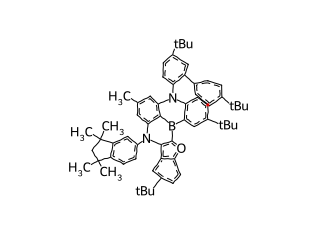 Cc1cc2c3c(c1)N(c1ccc4c(c1)C(C)(C)CC4(C)C)c1c(oc4ccc(C(C)(C)C)cc14)B3c1cc(C(C)(C)C)ccc1N2c1ccc(C(C)(C)C)cc1-c1ccc(C(C)(C)C)cc1